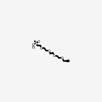 C#CCOCCOCCOCCOCCP(C)(=O)OCC